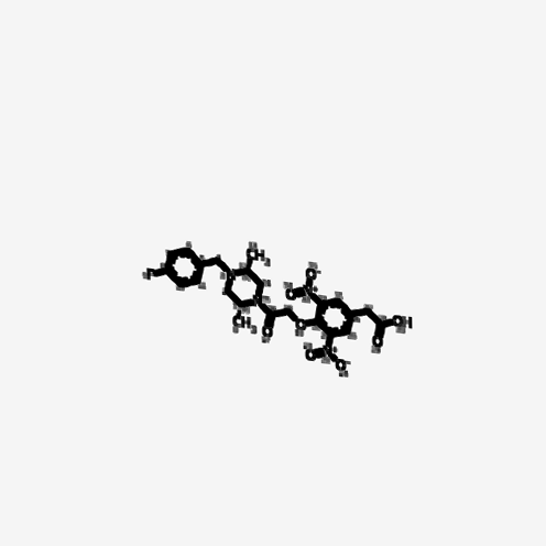 C[C@@H]1CN(Cc2ccc(F)cc2)[C@@H](C)CN1C(=O)COc1c([N+](=O)[O-])cc(CC(=O)O)cc1[N+](=O)[O-]